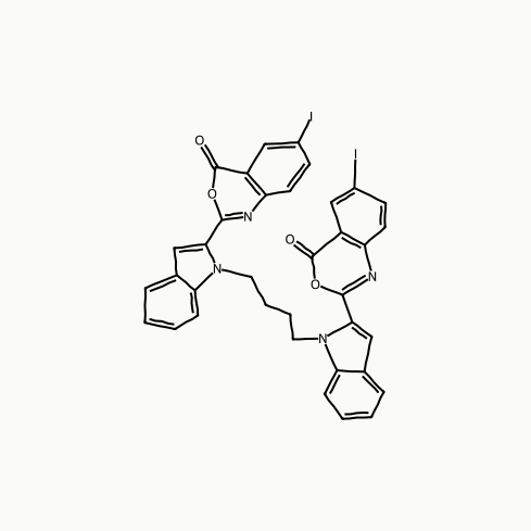 O=c1oc(-c2cc3ccccc3n2CCCCn2c(-c3nc4ccc(I)cc4c(=O)o3)cc3ccccc32)nc2ccc(I)cc12